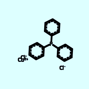 [Cl-].[Cl-].[Cu+2].c1ccc(P(c2ccccc2)c2ccccc2)cc1